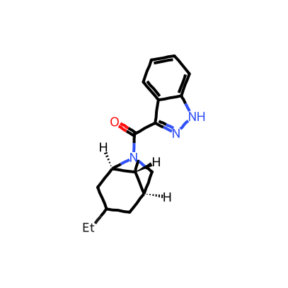 CCC1C[C@@H]2CN(C(=O)c3n[nH]c4ccccc34)[C@H](C1)[C@@H]2C